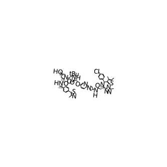 Cc1ncsc1-c1ccc([C@H](C)NC(=O)[C@@H]2C[C@@H](O)CN2C(=O)C(NC(=O)COc2ccc(N3CC(NC(=O)C[C@@H]4N=C(c5ccc(Cl)cc5)c5c(sc(C)c5C)-n5c(C)nnc54)C3)nc2)C(C)(C)C)cc1